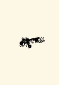 COc1ccc(CNC(=O)[C@@H](NC(=O)C(NC(=O)OCc2ccccc2)(C(=O)NCCCNCc2cc(OC)c(OC)c(OC)c2)C(C)(C)C)C(C)C)c(O)c1